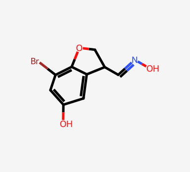 ON=CC1COc2c(Br)cc(O)cc21